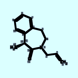 C=CCN1CCc2ccccc2[C@H](N)C1=O